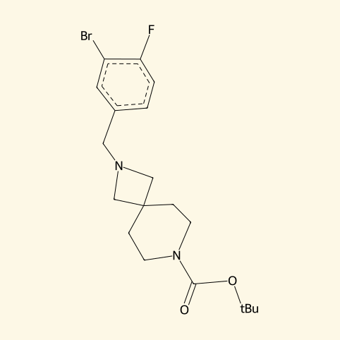 CC(C)(C)OC(=O)N1CCC2(CC1)CN(Cc1ccc(F)c(Br)c1)C2